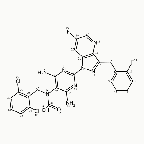 Nc1nc(-n2nc(Cc3ccccc3F)c3ncc(F)cc32)nc(N)c1N(Cc1c(Cl)cccc1Cl)C(=O)O